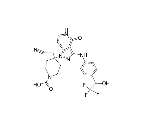 N#CCC1(n2nc(Nc3ccc(C(O)C(F)(F)F)cc3)c3c(=O)[nH]ccc32)CCN(C(=O)O)CC1